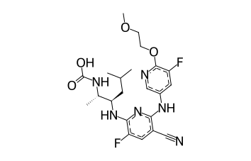 COCCOc1ncc(Nc2nc(N[C@H](CC(C)C)[C@H](C)NC(=O)O)c(F)cc2C#N)cc1F